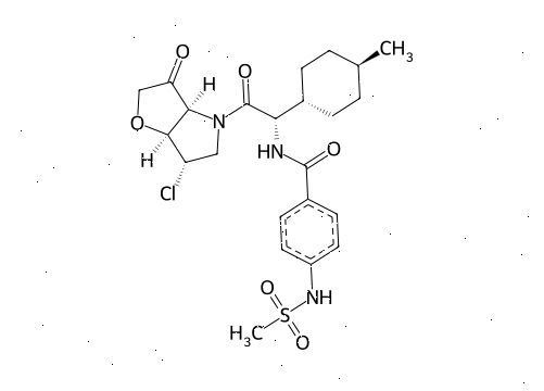 CS(=O)(=O)Nc1ccc(C(=O)N[C@H](C(=O)N2C[C@H](Cl)[C@H]3OCC(=O)[C@H]32)[C@H]2CC[C@H](C)CC2)cc1